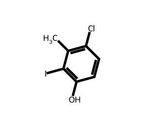 Cc1c(Cl)ccc(O)c1I